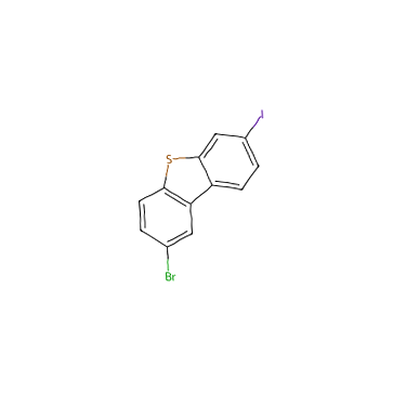 Brc1ccc2sc3cc(I)ccc3c2c1